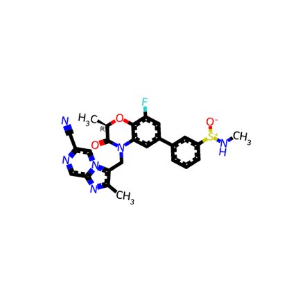 CN[S+]([O-])c1cccc(-c2cc(F)c3c(c2)N(Cc2c(C)nc4cnc(C#N)cn24)C(=O)[C@@H](C)O3)c1